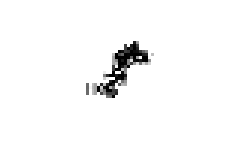 Cc1cc(-c2noc(-c3nn(C)c4c3CCC(C)(C)C4)n2)cc(C)c1CCC(=O)O